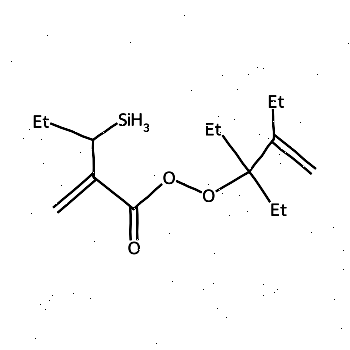 C=C(C(=O)OOC(CC)(CC)C(=C)CC)C([SiH3])CC